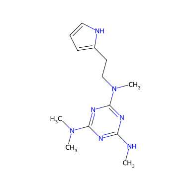 CNc1nc(N(C)C)nc(N(C)CCc2ccc[nH]2)n1